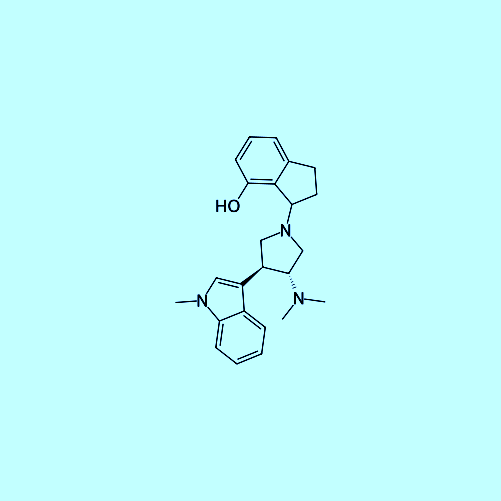 CN(C)[C@H]1CN(C2CCc3cccc(O)c32)C[C@@H]1c1cn(C)c2ccccc12